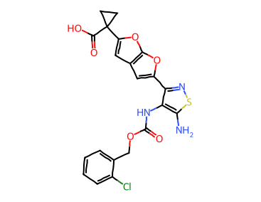 Nc1snc(-c2cc3cc(C4(C(=O)O)CC4)oc3o2)c1NC(=O)OCc1ccccc1Cl